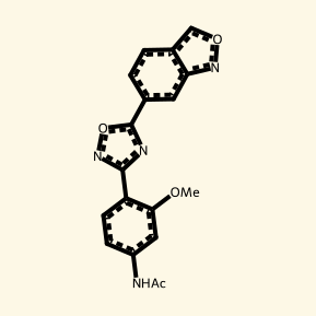 COc1cc(NC(C)=O)ccc1-c1noc(-c2ccc3conc3c2)n1